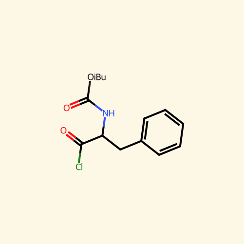 CC(C)COC(=O)NC(Cc1ccccc1)C(=O)Cl